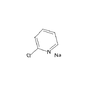 Clc1ccccn1.[Na]